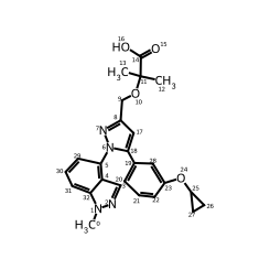 Cn1ncc2c(-n3nc(COC(C)(C)C(=O)O)cc3-c3cccc(OC4CC4)c3)cccc21